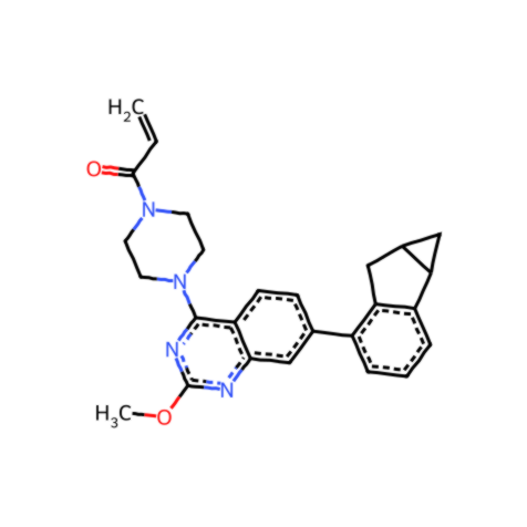 C=CC(=O)N1CCN(c2nc(OC)nc3cc(-c4cccc5c4CC4CC54)ccc23)CC1